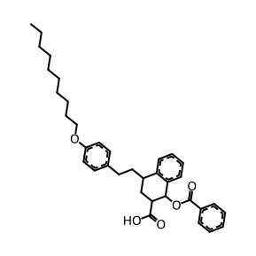 CCCCCCCCCCOc1ccc(CCC2CC(C(=O)O)C(OC(=O)c3ccccc3)c3ccccc32)cc1